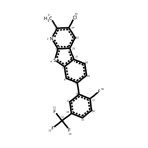 Cc1nc2sc3cc(-c4cc(C(F)(F)F)ccc4F)ccc3c2cc1Cl